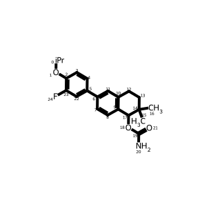 CC(C)Oc1ccc(-c2ccc3c(c2)CCC(C)(C)C3OC(N)=O)cc1F